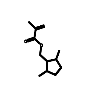 C=C(C)C(=O)OCC1C(C)CCC1C